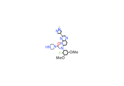 COc1cc(OC)c(F)c(N(CC(=O)N2CCNCC2)c2ccc3ncc(-c4cnn(C)c4)nc3n2)c1